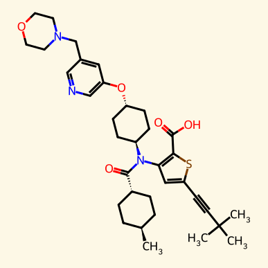 CC(C)(C)C#Cc1cc(N(C(=O)[C@H]2CC[C@H](C)CC2)[C@H]2CC[C@H](Oc3cncc(CN4CCOCC4)c3)CC2)c(C(=O)O)s1